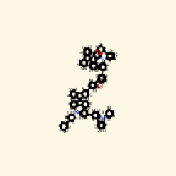 c1ccc(-c2ccc(N(c3ccc(-c4ccc5c(c4)c4ccccc4n5-c4ccccc4)cc3)c3cccc4c3-c3ccccc3C43c4ccccc4-c4cc(-c5ccc6c(c5)oc5ccc(-c7ccc(N(c8ccccc8-c8ccccc8)c8cccc9c8-c8ccccc8C98c9ccccc9-c9ccccc98)cc7)cc56)ccc43)cc2)cc1